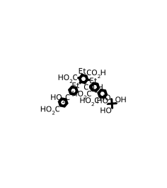 CCc1c(C(=O)O)c(CC)c(C(=O)O)c(CC)c1C(=O)O.O=C(O)c1ccccc1.O=C(O)c1ccccc1.O=C(O)c1ccccc1.O=C(O)c1ccccc1.OCC(CO)(CO)CO